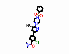 CN(C)C(=O)c1ccc(-c2cnc(N3CCN(S(=O)(=O)c4ccccc4)CC3)c(C#N)c2)cc1Cl